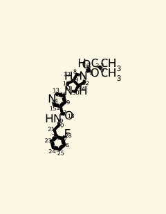 CC(C)(C)OC(=O)N1C[C@@H]2CN(c3cncc(C(=O)NCCc4ccccc4F)c3)C[C@@H]2C1